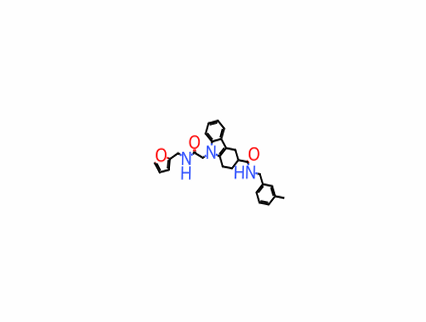 Cc1cccc(CNC(=O)C2CCc3c(c4ccccc4n3CC(=O)NCc3ccco3)C2)c1